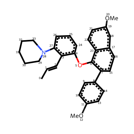 CC=Cc1c(Oc2c(-c3ccc(OC)cc3)ccc3cc(OC)ccc23)cccc1N1CCCCC1